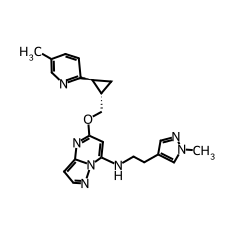 Cc1ccc([C@H]2C[C@@H]2COc2cc(NCCc3cnn(C)c3)n3nccc3n2)nc1